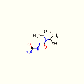 CC(C)N(C(=O)N=NC(N)=O)C(C)C